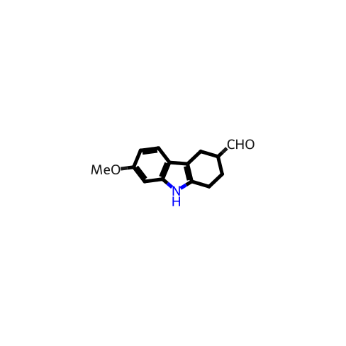 COc1ccc2c3c([nH]c2c1)CCC(C=O)C3